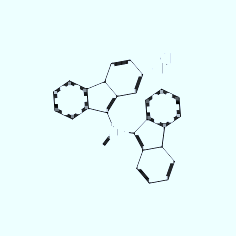 [CH2]=[Zr+2]([C]1=C2C=CC=CC2c2ccccc21)[C]1=C2C=CC=CC2c2ccccc21.[Cl-].[Cl-]